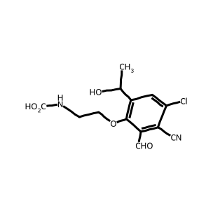 CC(O)c1cc(Cl)c(C#N)c(C=O)c1OCCNC(=O)O